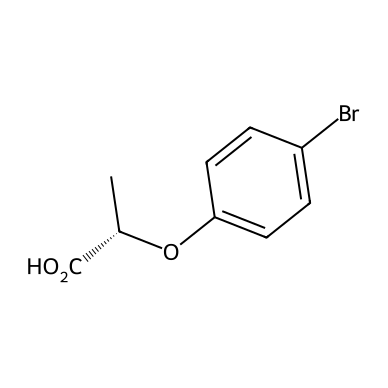 C[C@H](Oc1ccc(Br)cc1)C(=O)O